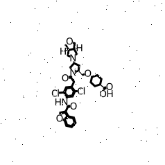 O=C(Nc1cc(Cl)c(CC(=O)N2C[C@@H](N3C[C@H]4COC[C@H]4C3)C[C@H]2CO[C@H]2CC[C@H](C(=O)O)CC2)cc1Cl)c1coc2ccccc12